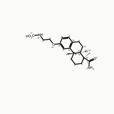 C[C@]1(C(N)=O)CCC[C@]2(C)c3cc(OCCNC(=O)O)ccc3CC[C@@H]12